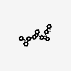 c1ccc(-n2c3ccccc3c3cc(-c4ccc5c(c4)c4ccccc4n5-c4ccc5c6ccccc6n(-c6ccc7c(c6)oc6ccccc67)c5c4)ccc32)cc1